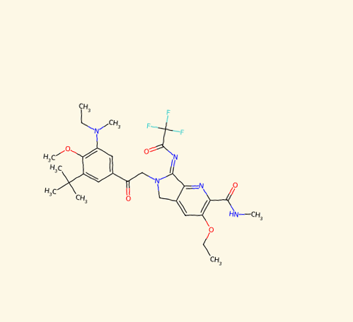 CCOc1cc2c(nc1C(=O)NC)C(=NC(=O)C(F)(F)F)N(CC(=O)c1cc(N(C)CC)c(OC)c(C(C)(C)C)c1)C2